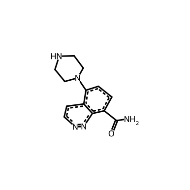 NC(=O)c1ccc(N2CCNCC2)c2ccnnc12